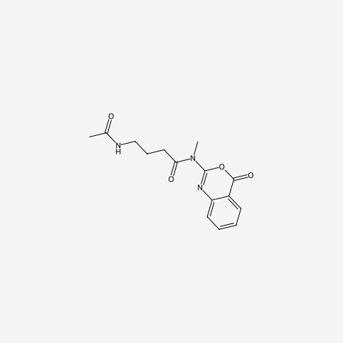 CC(=O)NCCCC(=O)N(C)c1nc2ccccc2c(=O)o1